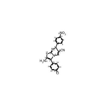 N#CC1=CN2C(=NC1c1ccc([N+](=O)[O-])cc1)SC(N)=C2c1ccc(Cl)cc1